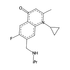 Cc1cc(=O)c2cc(F)c(CNC(C)C)cc2n1C1CC1